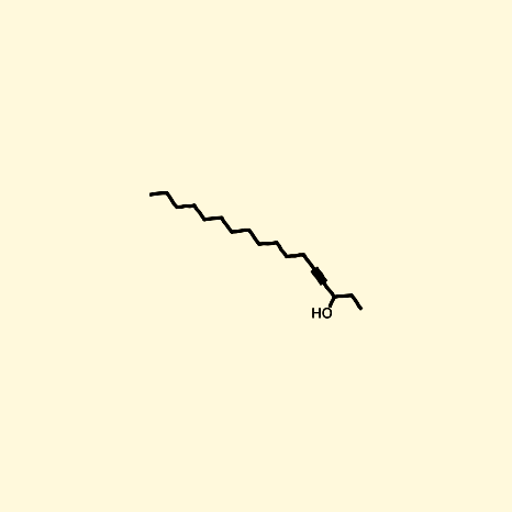 CCCCCCCCCCCCC#CC(O)CC